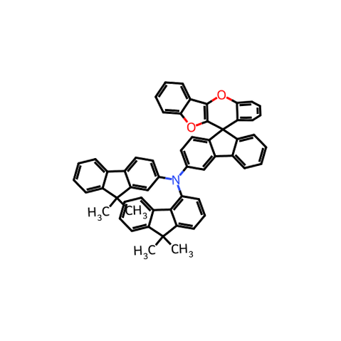 CC1(C)c2ccccc2-c2ccc(N(c3ccc4c(c3)-c3ccccc3C43c4ccccc4Oc4c3oc3ccccc43)c3cccc4c3-c3ccccc3C4(C)C)cc21